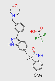 COc1ccc2c(c1)C1(CC1c1ccc3c(-c4cccc(CN5CCOCC5)c4)n[nH]c3c1)C(=O)N2.O=C(O)C(F)(F)F